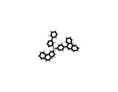 c1ccc(-c2cccc(N(c3ccc(-c4cc5ccccc5c5ccccc45)cc3)c3ccc4ccc5ccccc5c4c3)c2)cc1